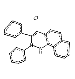 C1=C(c2ccccc2)N(c2ccccc2)Nc2c3ccccc3cc[n+]21.[Cl-]